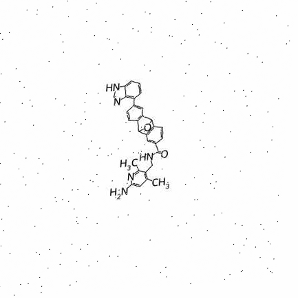 Cc1cc(N)nc(C)c1CNC(=O)c1ccc2c(c1)C1OC2c2cc(-c3cccc4[nH]cnc34)ccc21